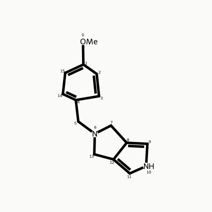 COc1ccc(CN2Cc3c[nH]cc3C2)cc1